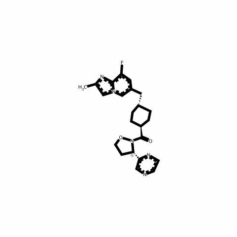 Cc1cn2cc(C[C@H]3CC[C@H](C(=O)N4OCC[C@H]4c4cnccn4)CC3)cc(F)c2n1